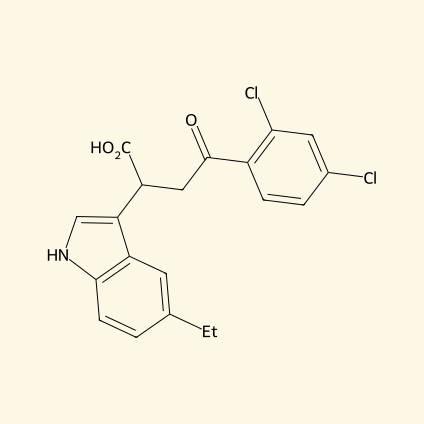 CCc1ccc2[nH]cc(C(CC(=O)c3ccc(Cl)cc3Cl)C(=O)O)c2c1